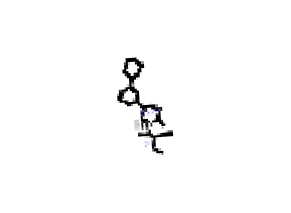 C#C/C(=C\C)C(=C)NC(=C)/C=C\C(=C/C)c1cccc(-c2ccccc2)c1